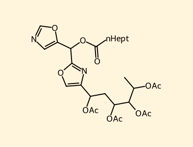 CCCCCCCC(=O)OC(c1cnco1)c1nc(C(CC(OC(C)=O)C(OC(C)=O)C(C)OC(C)=O)OC(C)=O)co1